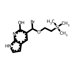 C[Si](C)(C)CCOC(Br)c1cc2cc[nH]c2nc1O